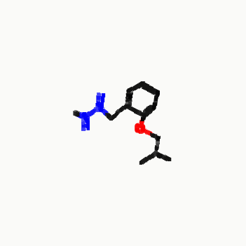 CNNCc1ccccc1OCC(C)C